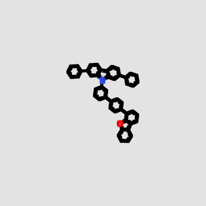 c1ccc(-c2ccc3c4ccc(-c5ccccc5)cc4n(-c4cccc(-c5ccc(-c6cccc7c6oc6ccccc67)cc5)c4)c3c2)cc1